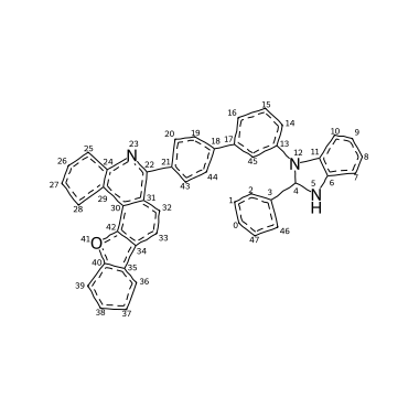 c1ccc(C2Nc3ccccc3N2c2cccc(-c3ccc(-c4nc5ccccc5c5c4ccc4c6ccccc6oc45)cc3)c2)cc1